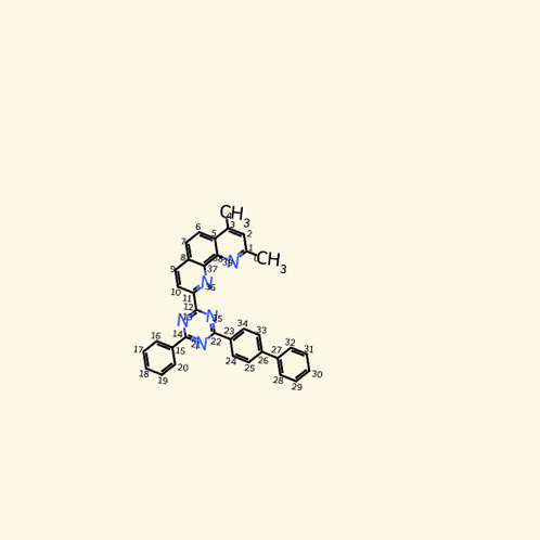 Cc1cc(C)c2ccc3ccc(-c4nc(-c5ccccc5)nc(-c5ccc(-c6ccccc6)cc5)n4)nc3c2n1